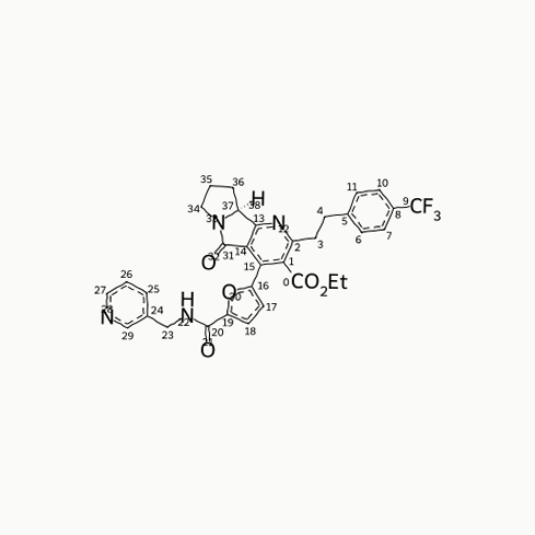 CCOC(=O)c1c(CCc2ccc(C(F)(F)F)cc2)nc2c(c1-c1ccc(C(=O)NCc3cccnc3)o1)C(=O)N1CCC[C@@H]21